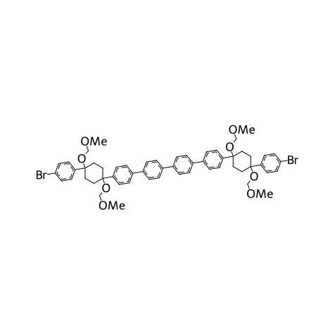 COCOC1(c2ccc(Br)cc2)CCC(OCOC)(c2ccc(-c3ccc(-c4ccc(-c5ccc(C6(OCOC)CCC(OCOC)(c7ccc(Br)cc7)CC6)cc5)cc4)cc3)cc2)CC1